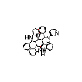 O=C(C(c1c[nH]c2ccccc12)C(Nc1cccnc1)c1ccccc1)C(c1c[nH]c2ccccc12)C(Nc1cccnc1)c1ccccc1